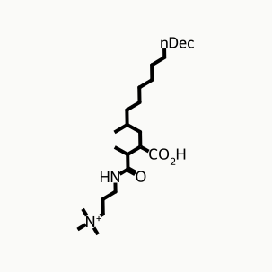 CCCCCCCCCCCCCCCCC(C)CC(C(=O)O)C(C)C(=O)NCCC[N+](C)(C)C